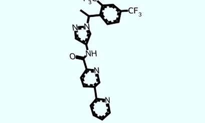 CC(c1ccc(C(F)(F)F)cc1C(F)(F)F)n1cc(NC(=O)c2ccc(-c3ccccn3)cn2)cn1